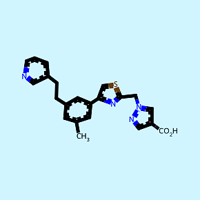 Cc1cc(CCc2cccnc2)cc(-c2csc(Cn3cc(C(=O)O)cn3)n2)c1